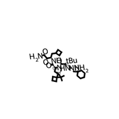 CC(C)(C)[C@H](NNCC1(N)CCCCC1)C(=O)N1C[C@]2(C[C@H]1C(=O)NC(CC1CCC1)C(=O)C(N)=O)C(C)(C)C21CCC1